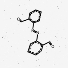 O=[C]c1ccccc1/N=N/c1ccccc1[C]=O